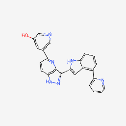 Oc1cncc(-c2ccc3[nH]nc(-c4cc5c(-c6ccccn6)cccc5[nH]4)c3n2)c1